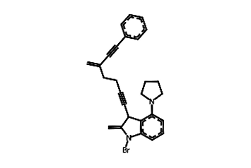 C=C(C#Cc1ccccc1)CCC#CC1C(=C)N(Br)c2cccc(N3CCCC3)c21